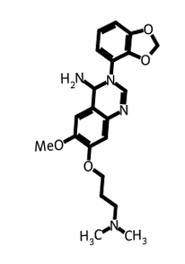 COc1cc2c(cc1OCCCN(C)C)N=CN(c1cccc3c1OCO3)C2N